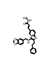 O=C(C=Cc1ccc2nc(CCc3ccccc3)c(NCc3ccc4c(c3)OCO4)n2c1)NO